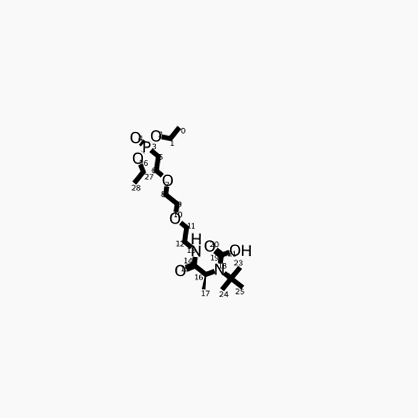 CCOP(=O)(CCOCCOCCNC(=O)[C@H](C)N(C(=O)O)C(C)(C)C)OCC